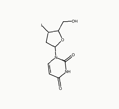 O=c1ccn(C2CC(I)C(CO)O2)c(=O)[nH]1